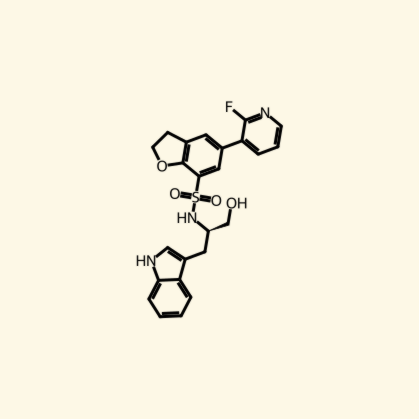 O=S(=O)(N[C@@H](CO)Cc1c[nH]c2ccccc12)c1cc(-c2cccnc2F)cc2c1OCC2